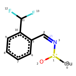 CC(C)(C)[S+]([O-])/N=C\c1ccccc1C(F)F